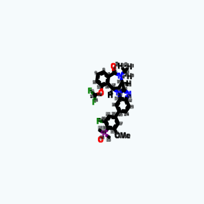 [2H]C([2H])([2H])N1C(=O)c2cccc(OC(F)F)c2[C@H]2C[C@@H]1c1nc3ccc(-c4cc(F)c(P(C)(C)=O)c(OC)c4)cc3n12